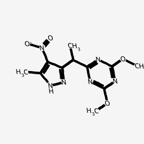 COc1nc(OC)nc(C(C)c2n[nH]c(C)c2[N+](=O)[O-])n1